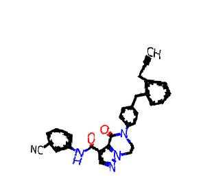 C#CCc1ccccc1Cc1ccc(N2CCn3ncc(C(=O)Nc4cccc(C#N)c4)c3C2=O)cc1